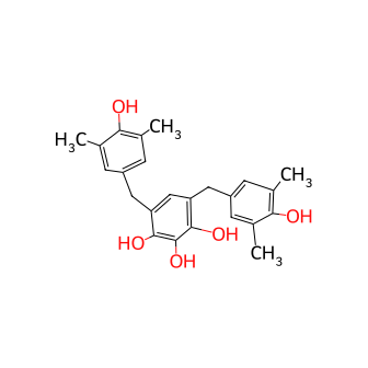 Cc1cc(Cc2cc(Cc3cc(C)c(O)c(C)c3)c(O)c(O)c2O)cc(C)c1O